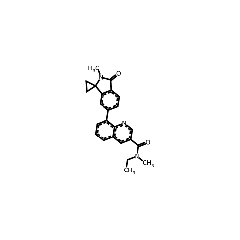 CCN(C)C(=O)c1cnc2c(-c3ccc4c(c3)C3(CC3)N(C)C4=O)cccc2c1